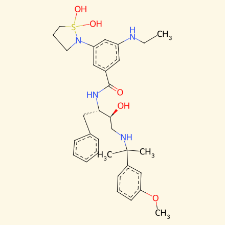 CCNc1cc(C(=O)N[C@@H](Cc2ccccc2)[C@@H](O)CNC(C)(C)c2cccc(OC)c2)cc(N2CCCS2(O)O)c1